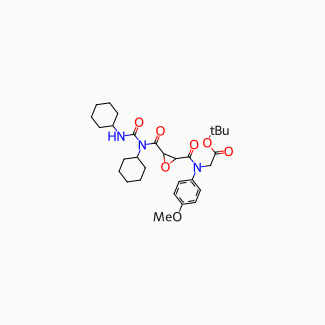 COc1ccc(N(CC(=O)OC(C)(C)C)C(=O)C2OC2C(=O)N(C(=O)NC2CCCCC2)C2CCCCC2)cc1